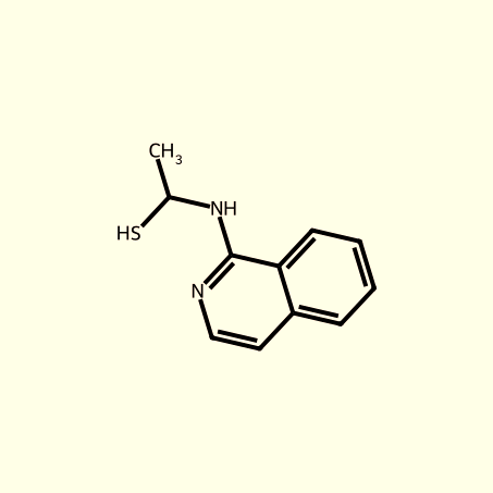 CC(S)Nc1nccc2ccccc12